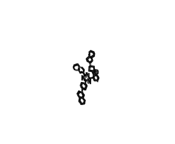 C1=CC2=C(C=C(c3nc(-c4ccc(-c5ccc6ccccc6c5)cc4)nc(-c4cccc5oc6cc(-c7ccc8ccccc8c7)ccc6c45)n3)CC2)CC1